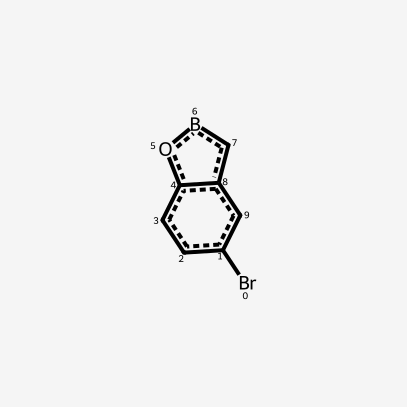 Brc1ccc2obcc2c1